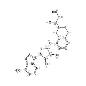 Cc1ncnc2c1ccn2[C@@H]1C[C@H](Oc2cccc3c2CN(C(=O)OC(C)(C)C)CC3)[C@@H](O)[C@H]1O